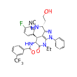 CCN1C(=O)[C@@H](NC(=O)c2cccc(C(F)(F)F)c2)[C@@H](c2ccc(F)cc2)c2c([C@@H](CCO)NC#N)nn(-c3ccccc3)c21